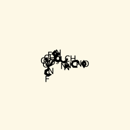 Cc1c(-c2cc(OCC(OS(C)(=O)=O)c3ccc(F)cn3)c3c(F)cnn3c2)nnn1C1CCN(C2COC2)CC1